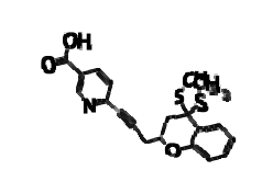 CSC1(SC)CC(CC#Cc2ccc(C(=O)O)cn2)Oc2ccccc21